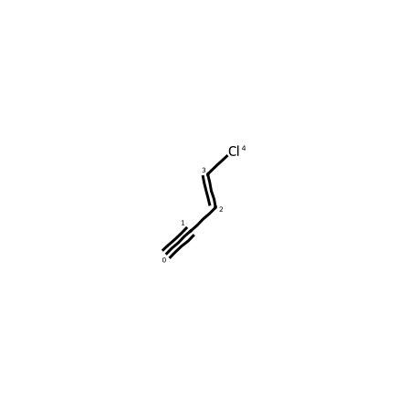 C#CC=CCl